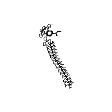 CCC(C)c1cc(OC(=O)OC(F)(F)C(F)(F)C(F)(F)C(F)(F)C(F)(F)C(F)(F)C(F)(F)C(F)(F)C(F)(F)C(F)(F)C(F)(F)C(F)(F)C(F)(F)C(F)(F)C(F)(F)F)c([N+](=O)[O-])c([N+](=O)[O-])c1